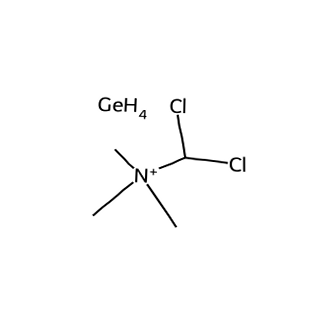 C[N+](C)(C)C(Cl)Cl.[GeH4]